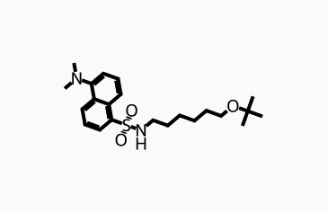 CN(C)c1cccc2c(S(=O)(=O)NCCCCCCOC(C)(C)C)cccc12